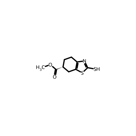 COC(=O)[C@@H]1CCc2nc(S)sc2C1